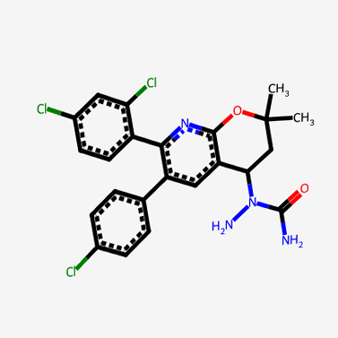 CC1(C)CC(N(N)C(N)=O)c2cc(-c3ccc(Cl)cc3)c(-c3ccc(Cl)cc3Cl)nc2O1